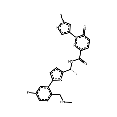 CNCc1ccc(F)cc1-c1ccc([C@@H](C)NC(=O)c2ccc(=O)n(-c3cnn(C)c3)n2)s1